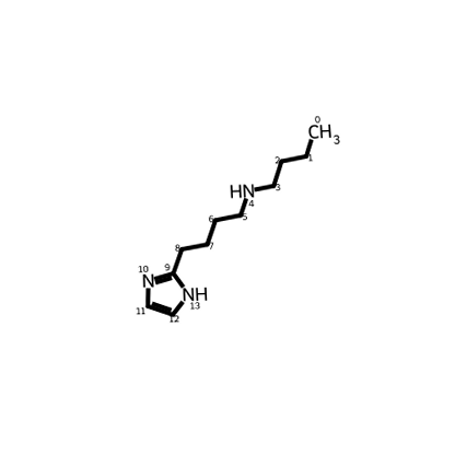 CCCCNCCCCc1ncc[nH]1